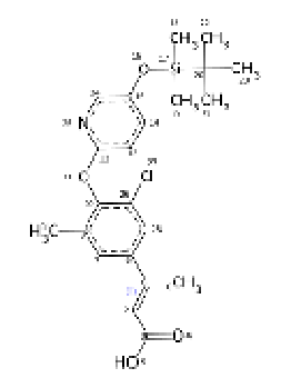 C/C(=C\C(=O)O)c1cc(C)c(Oc2ccc(O[Si](C)(C)C(C)(C)C)cn2)c(Cl)c1